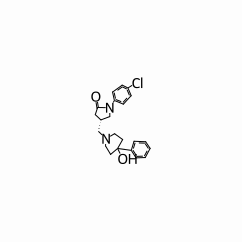 O=C1C[C@@H](CN2CCC(O)(c3ccccc3)CC2)CN1c1ccc(Cl)cc1